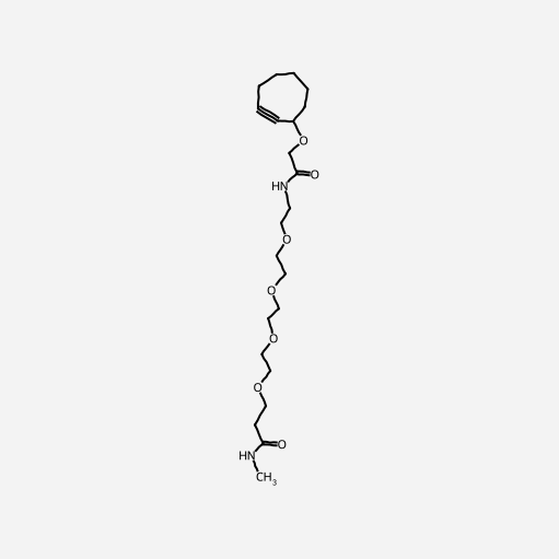 CNC(=O)CCOCCOCCOCCOCCNC(=O)COC1C#CCCCCC1